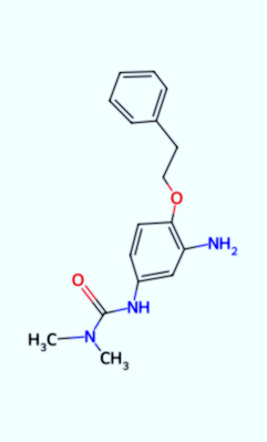 CN(C)C(=O)Nc1ccc(OCCc2ccccc2)c(N)c1